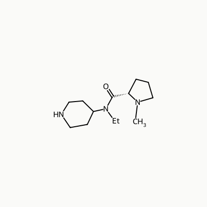 CCN(C(=O)[C@@H]1CCCN1C)C1CCNCC1